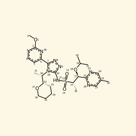 COc1cccc(-c2nnc(NS(=O)(=O)[C@@H](C)[C@@H](OC(C)C)c3ncc(C)cn3)n2[C@@H](C)[C@@H]2CCCCO2)n1